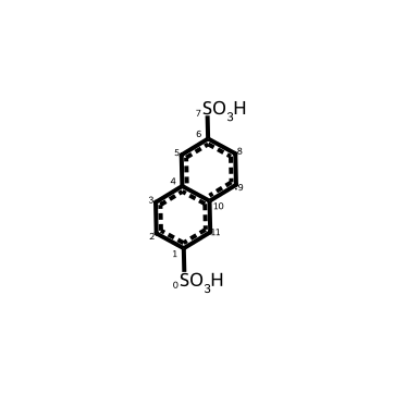 O=S(=O)(O)c1c[c]c2cc(S(=O)(=O)O)c[c]c2c1